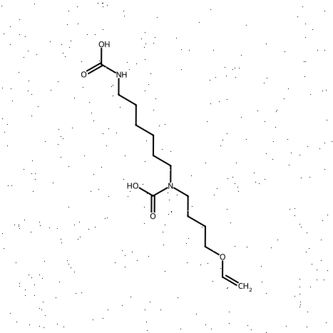 C=COCCCCN(CCCCCCNC(=O)O)C(=O)O